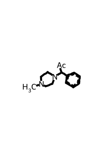 CC(=O)C(c1ccccc1)N1CCN(C)CC1